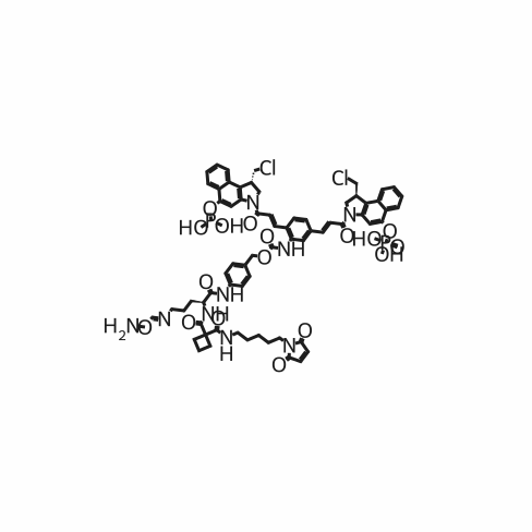 NOC=NCCC[C@H](NC(=O)C1(C(=O)NCCCCCN2C(=O)C=CC2=O)CCC1)C(=O)Nc1ccc(COC(=O)Nc2cc(/C=C/C(=O)N3C[C@@H](CCl)c4c3cc(OP(=O)(O)O)c3ccccc43)ccc2/C=C/C(=O)N2C[C@@H](CCl)c3c2cc(OP(O)O)c2ccccc32)cc1